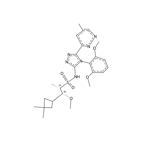 COc1cccc(OC)c1-n1c(NS(=O)(=O)[C@@H](C)[C@H](OC)C2CC(C)(C)C2)nnc1-c1cc(C)cnn1